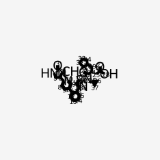 CN1C(=O)NCC1c1ccc(-c2ccccc2-c2csc(N(C(=O)[C@@H](CC(=O)O)CC3CCCC3)C3CC3)n2)cn1